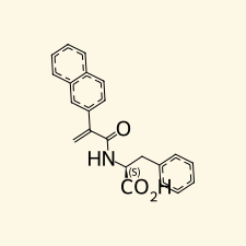 C=C(C(=O)N[C@@H](Cc1ccccc1)C(=O)O)c1ccc2ccccc2c1